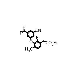 CCOC(=O)Cc1ccc(C)c(Oc2cc(C#N)cc(C(F)F)c2)c1F